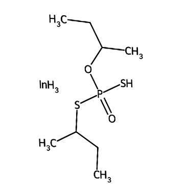 CCC(C)OP(=O)(S)SC(C)CC.[InH3]